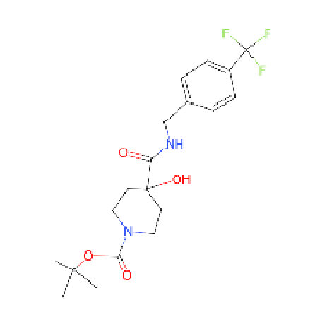 CC(C)(C)OC(=O)N1CCC(O)(C(=O)NCc2ccc(C(F)(F)F)cc2)CC1